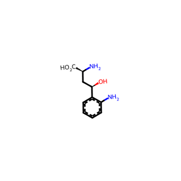 Nc1ccccc1[C@H](O)C[C@H](N)C(=O)O